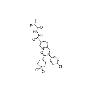 O=C(NNC(=O)C(F)F)c1ccc(CN(C(=O)N2CCS(=O)(=O)CC2)c2ccc(Cl)cc2)nc1